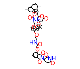 C[C@H]1C=C2C=C[C@H](C)C(CC[C@@H]3C[C@@H](O[Si](C)(C)C(C)(C)C)CC(=O)O3)[C@H]2[C@@H](OC(=O)NCCOCCOCCNC(=O)COc2cccc3c2C(=O)N(C2CCC(=O)NC2=O)C3=O)C1